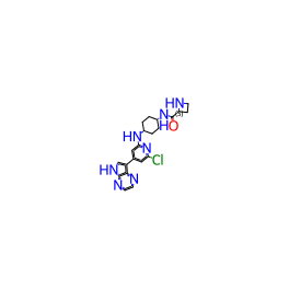 O=C(N[C@H]1CC[C@H](Nc2cc(-c3c[nH]c4nccnc34)cc(Cl)n2)CC1)[C@@H]1CCN1